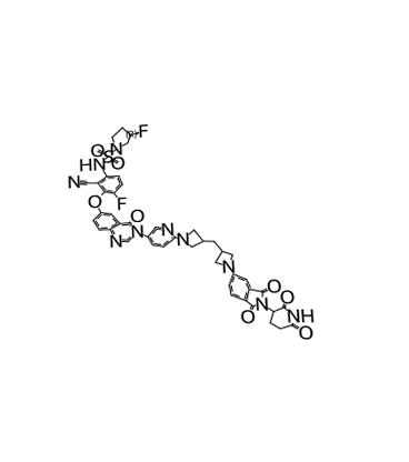 N#Cc1c(NS(=O)(=O)N2CC[C@@H](F)C2)ccc(F)c1Oc1ccc2ncn(-c3ccc(N4CC(CC5CN(c6ccc7c(c6)C(=O)N(C6CCC(=O)NC6=O)C7=O)C5)C4)nc3)c(=O)c2c1